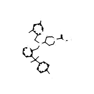 Cc1cc(Cl)cnc1CN(Cc1ncccc1C(C)(C)c1ccc(F)cc1)C1CCN(C(=O)NO)CC1